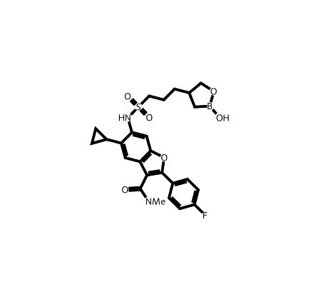 CNC(=O)c1c(-c2ccc(F)cc2)oc2cc(NS(=O)(=O)CCCC3COB(O)C3)c(C3CC3)cc12